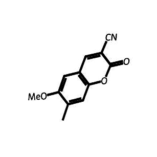 COc1cc2cc(C#N)c(=O)oc2cc1C